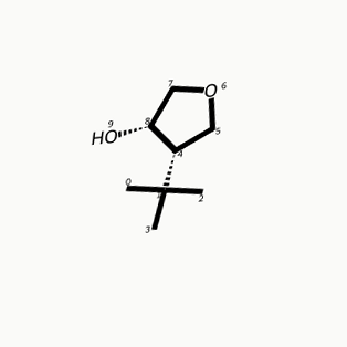 CC(C)(C)[C@H]1COC[C@H]1O